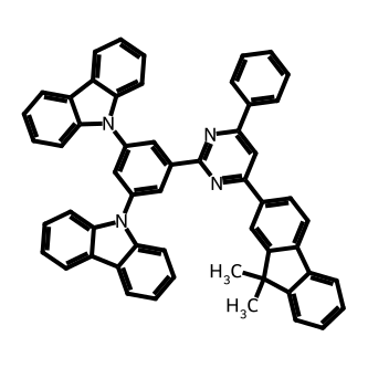 CC1(C)c2ccccc2-c2ccc(-c3cc(-c4ccccc4)nc(-c4cc(-n5c6ccccc6c6ccccc65)cc(-n5c6ccccc6c6ccccc65)c4)n3)cc21